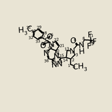 CCC1CN(C(=O)NCC(F)(F)F)CC1c1nnc2n1C1C=CN(S(=O)(=O)c3ccc(C)cc3)C1N=C2